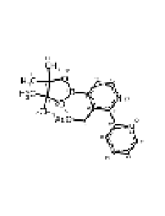 CC(=O)OCc1c(B2OC(C)(C)C(C)(C)O2)ccnc1-c1cnccn1